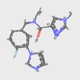 CC(C)N(Cc1ccc(F)c(-n2ccnc2)c1)C(=O)c1cn(C)cn1